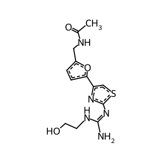 CC(=O)NCc1ccc(-c2csc(N=C(N)NCCO)n2)o1